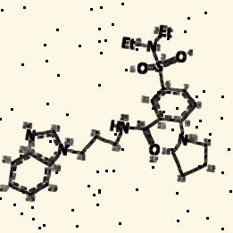 CCN(CC)S(=O)(=O)c1ccc(N2CCCC2)c(C(=O)NCCCn2cnc3ccccc32)c1